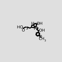 COc1cccc(C(O)C=C[C@@H]2[C@@H]3CC(CCSCC(=O)O)C[C@H]3C[C@H]2O)c1